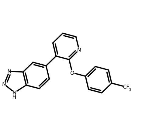 FC(F)(F)c1ccc(Oc2ncccc2-c2ccc3[nH]nnc3c2)cc1